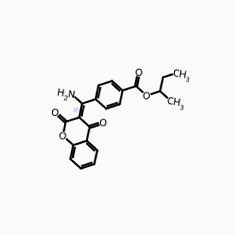 CCC(C)OC(=O)c1ccc(/C(N)=C2/C(=O)Oc3ccccc3C2=O)cc1